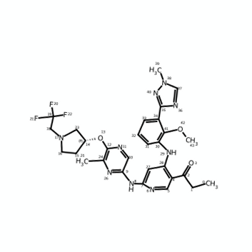 CCC(=O)c1cnc(Nc2cnc(O[C@@H]3CCN(CC(F)(F)F)C3)c(C)n2)cc1Nc1cccc(-c2ncn(C)n2)c1OC